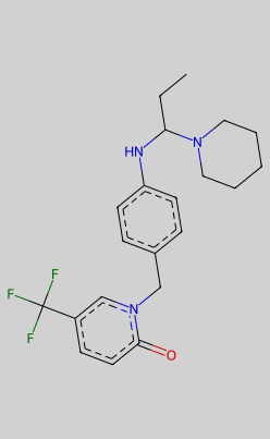 CCC(Nc1ccc(Cn2cc(C(F)(F)F)ccc2=O)cc1)N1CCCCC1